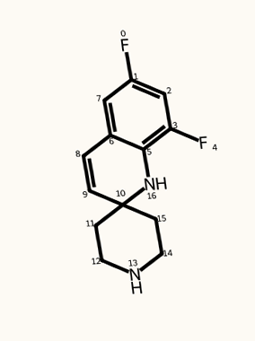 Fc1cc(F)c2c(c1)C=CC1(CCNCC1)N2